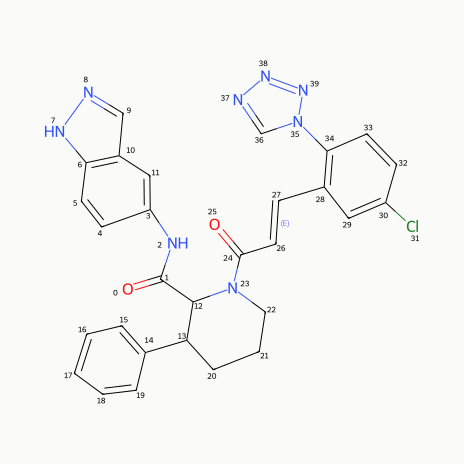 O=C(Nc1ccc2[nH]ncc2c1)C1C(c2ccccc2)CCCN1C(=O)/C=C/c1cc(Cl)ccc1-n1cnnn1